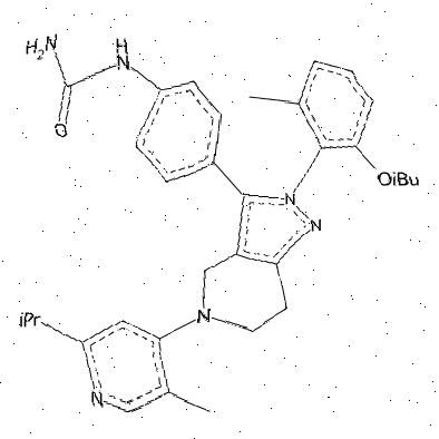 Cc1cnc(C(C)C)cc1N1CCc2nn(-c3c(C)cccc3OCC(C)C)c(-c3ccc(NC(N)=O)cc3)c2C1